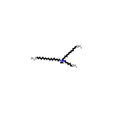 CCCCCCCCCCCCCCCCCCn1cc[n+](CCCCCCC)c1CCCCCCCCCCCCCC